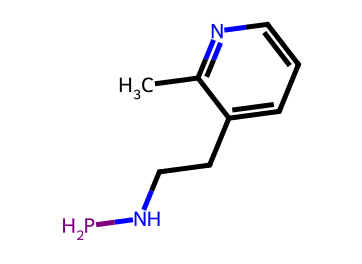 Cc1ncccc1CCNP